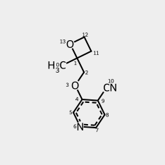 CC1(COc2cnccc2C#N)CCO1